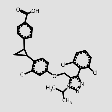 CC(C)n1nnc(-c2c(Cl)cccc2Cl)c1COc1ccc(C2CC2c2ccc(C(=O)O)cc2)c(Cl)c1